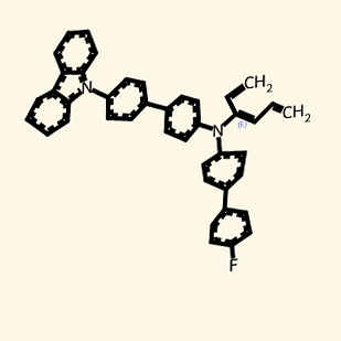 C=C/C=C(\C=C)N(c1ccc(-c2ccc(F)cc2)cc1)c1ccc(-c2ccc(-n3c4ccccc4c4ccccc43)cc2)cc1